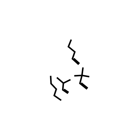 C=CC(C)(C)C.C=CC(C)C.C=CCCC.CCCCC